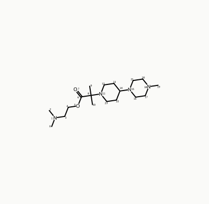 CN(C)CCOC(=O)C(C)(C)N1CCC(N2CCN(C)CC2)CC1